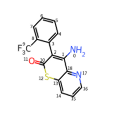 Nc1c(-c2ccccc2C(F)(F)F)c(=O)sc2cccnc12